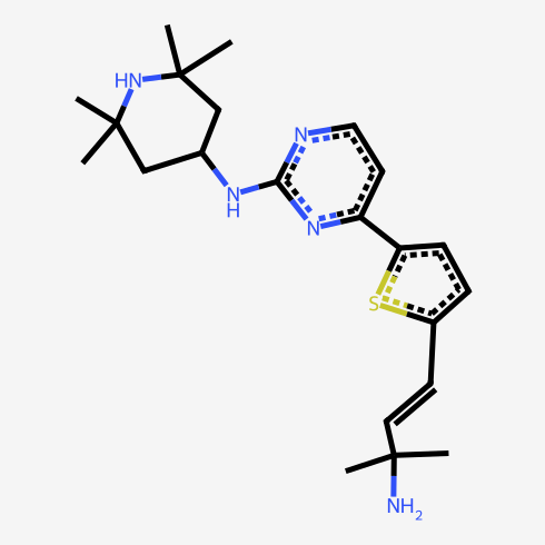 CC(C)(N)C=Cc1ccc(-c2ccnc(NC3CC(C)(C)NC(C)(C)C3)n2)s1